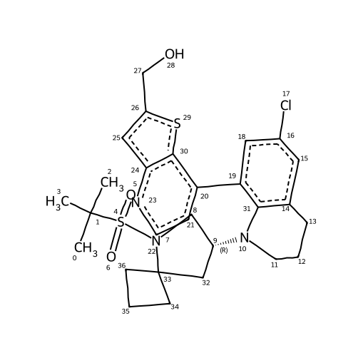 CC(C)(C)S(=O)(=O)N1C[C@H](N2CCCc3cc(Cl)cc(-c4ccnc5cc(CO)sc45)c32)CC12CCC2